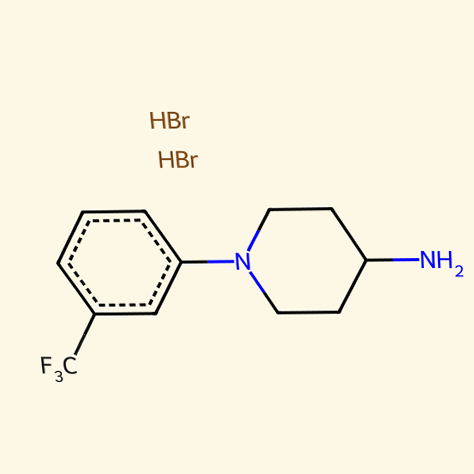 Br.Br.NC1CCN(c2cccc(C(F)(F)F)c2)CC1